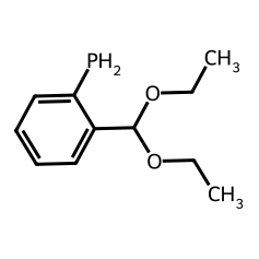 CCOC(OCC)c1ccccc1P